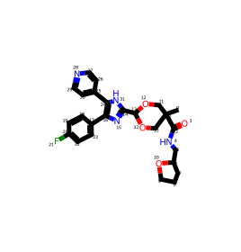 CC1(C(=O)NCC2CCCO2)COC(c2nc(-c3ccc(F)cc3)c(-c3ccncc3)[nH]2)OC1